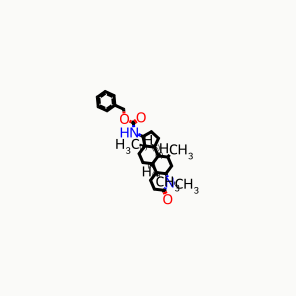 CC1CC2N(C)C(=O)CC[C@]2(C)[C@@H]2CC[C@]3(C)C(NC(=O)OCc4ccccc4)CC[C@H]3[C@H]12